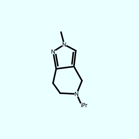 CC(C)N1CCc2nn(C)cc2C1